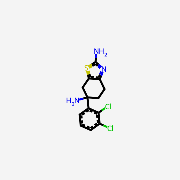 Nc1nc2c(s1)CC(N)(c1cccc(Cl)c1Cl)CC2